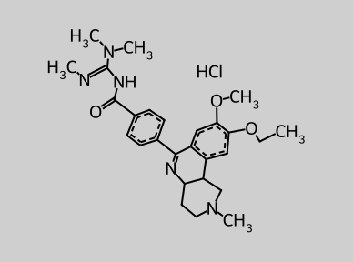 CCOc1cc2c(cc1OC)C(c1ccc(C(=O)NC(=NC)N(C)C)cc1)=NC1CCN(C)CC21.Cl